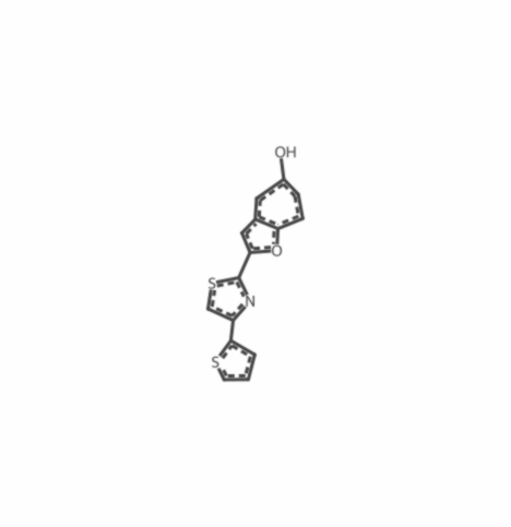 Oc1ccc2oc(-c3nc(-c4cccs4)cs3)cc2c1